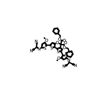 COc1cc(N=C(C#N)C#N)sc1-c1cc2c(s1)-c1sc(-c3sc(N=C(C#N)C#N)cc3OC)cc1C(C(=O)OCc1ccccc1)(C(=O)OCc1ccccc1)O2